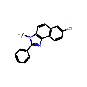 Cn1c(-c2ccccc2)nc2c3ccc(Cl)cc3ccc21